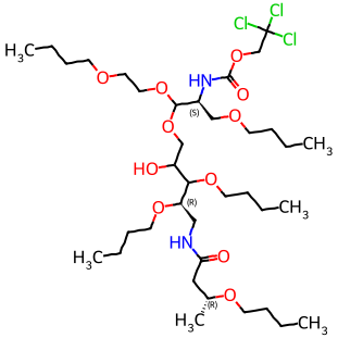 CCCCOCCOC(OCC(O)C(OCCCC)[C@@H](CNC(=O)C[C@@H](C)OCCCC)OCCCC)[C@H](COCCCC)NC(=O)OCC(Cl)(Cl)Cl